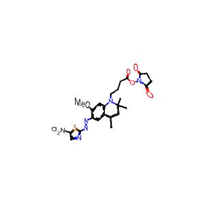 COc1cc2c(cc1/N=N/c1ncc([N+](=O)[O-])s1)C(C)CC(C)(C)N2CCCC(=O)ON1C(=O)CCC1=O